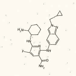 NC(=O)c1cc(F)c(NC2CCCCC2N)nc1Nc1ccc2nn(CC3CC3)cc2c1